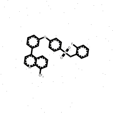 O=S(=O)(Cc1ccccc1F)c1ccc(Oc2cccc(-c3ccnc4c(C(F)(F)F)cccc34)c2)cc1